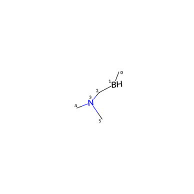 CBCN(C)C